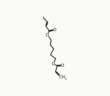 C=CC(=O)OCCCCCOC(=O)/C=C/I